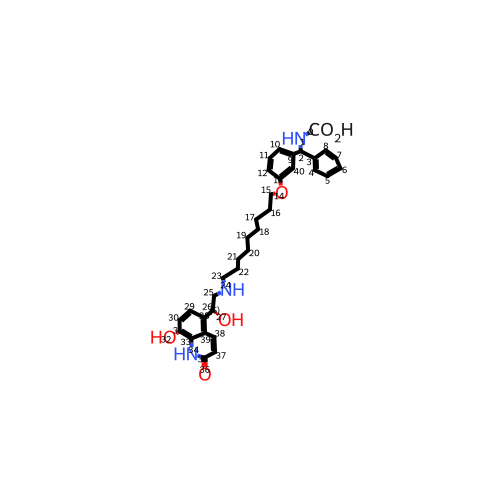 O=C(O)NC(c1ccccc1)c1cccc(OCCCCCCCCCNC[C@@H](O)c2ccc(O)c3[nH]c(=O)ccc23)c1